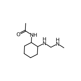 CNCNC1CCCCC1NC(C)=O